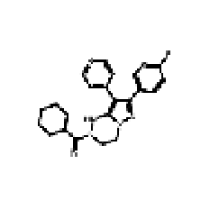 O=C(C1CCCCC1)N1CCn2nc(-c3ccc(F)cc3)c(-c3ccncc3)c2N1